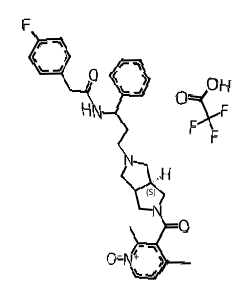 Cc1cc[n+]([O-])c(C)c1C(=O)N1CC2CN(CCC(NC(=O)Cc3ccc(F)cc3)c3ccccc3)C[C@H]2C1.O=C(O)C(F)(F)F